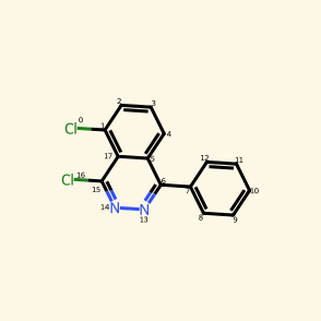 Clc1cccc2c(-c3ccccc3)nnc(Cl)c12